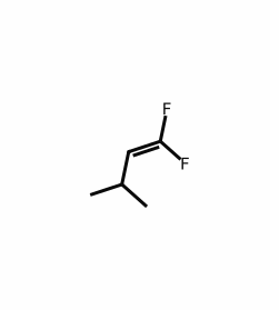 CC(C)C=C(F)F